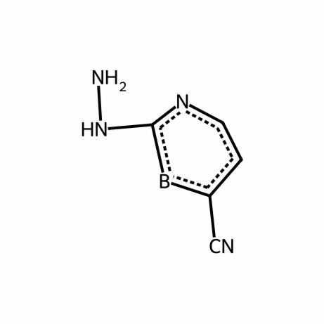 N#Cc1bc(NN)ncc1